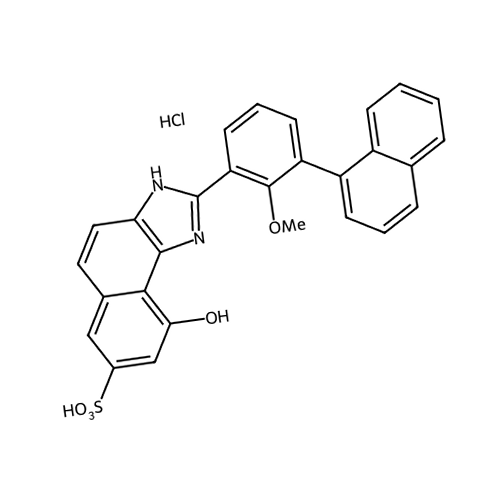 COc1c(-c2nc3c(ccc4cc(S(=O)(=O)O)cc(O)c43)[nH]2)cccc1-c1cccc2ccccc12.Cl